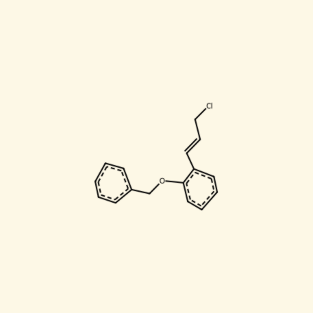 ClC/C=C/c1ccccc1OCc1ccccc1